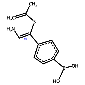 C=C(C)S/C(=C\N)c1ccc(B(O)O)cc1